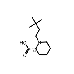 CC(C)(C)CCN1CCCC[C@@H]1C(=O)O